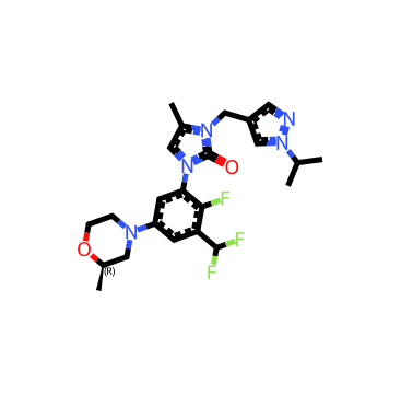 Cc1cn(-c2cc(N3CCO[C@H](C)C3)cc(C(F)F)c2F)c(=O)n1Cc1cnn(C(C)C)c1